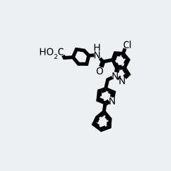 O=C(O)CC1CCC(NC(=O)c2cc(Cl)cc3cnn(Cc4ccc(-c5ccccc5)nc4)c23)CC1